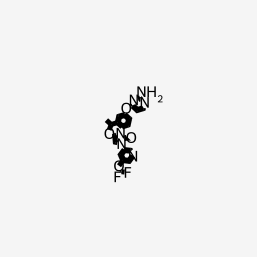 CC(C)c1cc(Oc2ccnc(N)n2)ccc1N1C(=O)CN(c2cncc(OC(F)F)c2)C1=O